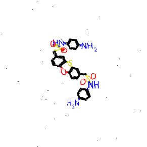 Nc1ccc(NS(=O)(=O)Cc2ccc3c(c2)Sc2cc(CS(=O)(=O)Nc4ccc(N)cc4)ccc2O3)cc1